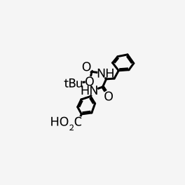 CC(C)(C)OC(=O)NC(Cc1ccccc1)C(=O)Nc1ccc(C(=O)O)cc1